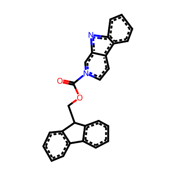 O=C(OCC1c2ccccc2-c2ccccc21)n1ccc2c3ccccc3nc-2c1